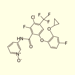 O=C(Nc1ccc[n+]([O-])c1)c1c(Oc2ccc(F)cc2OC2CC2)cc(C(F)(F)F)c(Cl)c1F